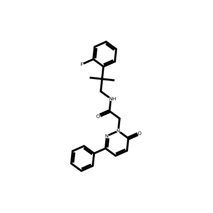 CC(C)(CNC(=O)Cn1nc(-c2ccccc2)ccc1=O)c1ccccc1F